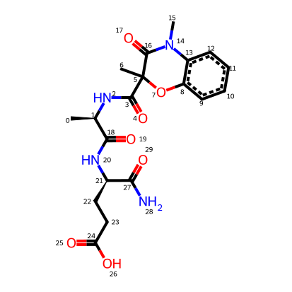 C[C@@H](NC(=O)C1(C)Oc2ccccc2N(C)C1=O)C(=O)N[C@H](CCC(=O)O)C(N)=O